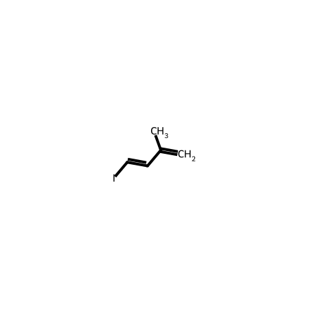 C=C(C)C=CI